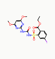 CCOC(=O)c1ccc(I)cc1S(=O)(=O)NC(=O)Nc1nc(OC)cc(OC)n1